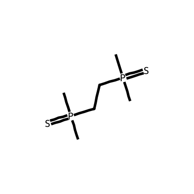 CP(C)(=S)CCP(C)(C)=S